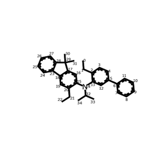 CCc1ccc(-c2ccccc2)cc1N(c1cc2c(cc1CC)-c1ccccc1C2(C)C)C(C)C